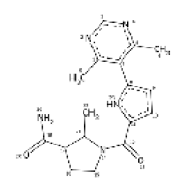 Cc1ncnc(C)c1-c1ccc(C(=O)N2CCC(C(N)=O)C2C)[nH]1